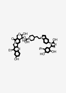 CCC[C@]1(OC(O)N2CCC(CCn3ccc4cc(-n5c(O)nnc5-c5cc(C(C)C)c(O)cc5O)ccc43)CC2)c2cc3n(c(=O)c2COC1O)Cc1c-3nc2ccc(O)cc2c1CC